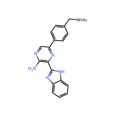 CC(=O)NCc1ccc(-c2cnc(N)c(-c3nc4ccccc4[nH]3)n2)cc1